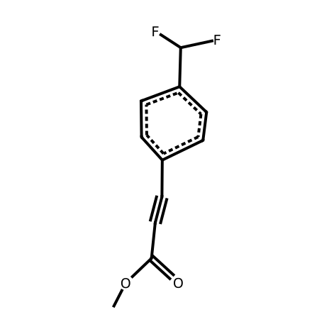 COC(=O)C#Cc1ccc(C(F)F)cc1